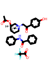 CC(=O)O[C@H]1C[N+]2(CC(=O)c3ccc(O)cc3)CCC1CC2.O=C(Nc1ccccc1)c1ccccc1.O=C([O-])C(F)(F)F